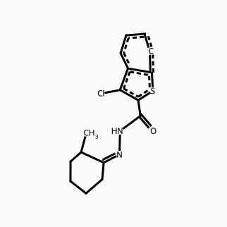 CC1CCCC/C1=N/NC(=O)c1sc2ccccc2c1Cl